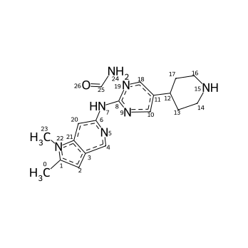 Cc1cc2cnc(Nc3ncc(C4CCNCC4)cn3)cc2n1C.NC=O